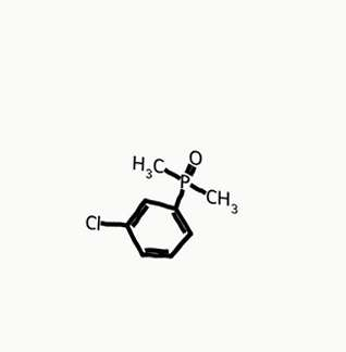 CP(C)(=O)c1cccc(Cl)c1